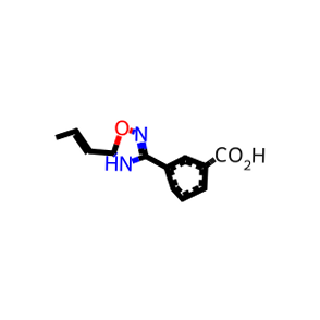 C/C=C/C1NC(c2cccc(C(=O)O)c2)=NO1